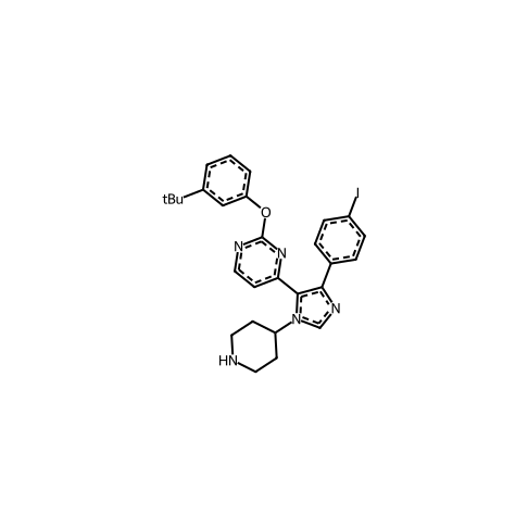 CC(C)(C)c1cccc(Oc2nccc(-c3c(-c4ccc(I)cc4)ncn3C3CCNCC3)n2)c1